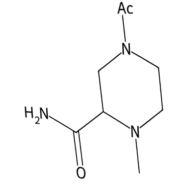 CC(=O)N1CCN(C)C(C(N)=O)C1